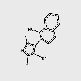 Cn1nc(F)c(Br)c1-c1ccc2ccccc2c1C#N